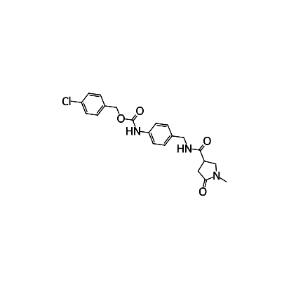 CN1CC(C(=O)NCc2ccc(NC(=O)OCc3ccc(Cl)cc3)cc2)CC1=O